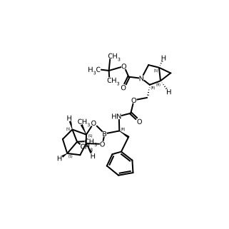 CC(C)(C)OC(=O)N1C[C@H]2C[C@H]2[C@@H]1COC(=O)N[C@@H](Cc1ccccc1)B1O[C@@H]2C[C@@H]3C[C@@H](C3(C)C)[C@]2(C)O1